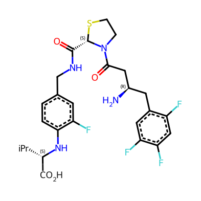 CC(C)[C@H](Nc1ccc(CNC(=O)[C@@H]2SCCN2C(=O)C[C@H](N)Cc2cc(F)c(F)cc2F)cc1F)C(=O)O